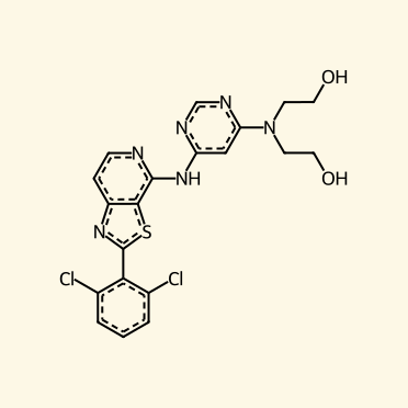 OCCN(CCO)c1cc(Nc2nccc3nc(-c4c(Cl)cccc4Cl)sc23)ncn1